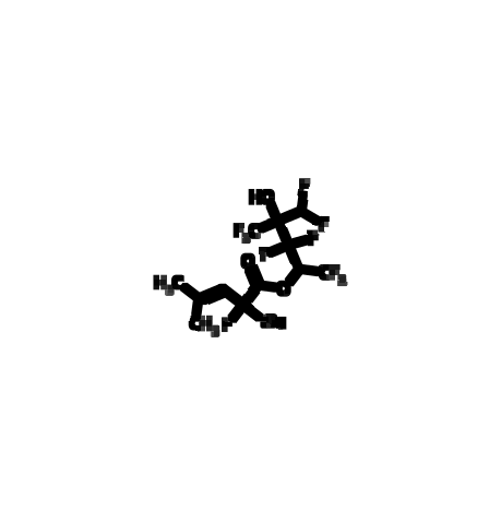 CC(C)=CC(F)(C(=O)OC(C(F)(F)F)C(F)(F)C(O)(C(F)F)C(F)(F)F)C(C)(C)C